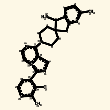 Cc1ccc2c(n1)CC1(CCN(c3nccn4c(-c5ccnc(C)c5Cl)ncc34)CC1)C2N